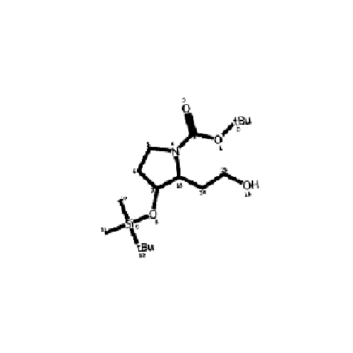 CC(C)(C)OC(=O)N1CCC(O[Si](C)(C)C(C)(C)C)C1CCO